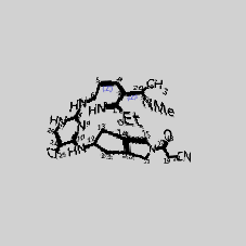 CCC(=N)C(/C=C\CNC1N=C(NC2CC3CN(C(=O)CC#N)CC3C2)C(Cl)=CN1)=C(/C)NC